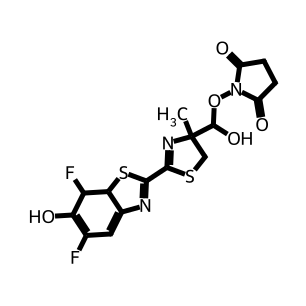 CC1(C(O)ON2C(=O)CCC2=O)CSC(C2=NC3=CC(F)=C(O)C(F)C3S2)=N1